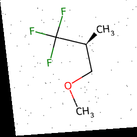 COC[C@H](C)C(F)(F)F